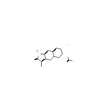 CO[C@@H]1C=C2C=C3C(=C(C)C(=O)N3C)C[C@]2(C)[C@@H](C)[C@H]1OC(N)=O